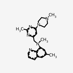 Cc1cc(N(C)Cc2cc(N3CCN(C)CC3)nc(C)n2)c2ncccc2c1